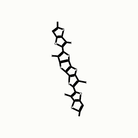 Cc1cc2oc(-c3sc4c(sc5c6sc(-c7oc8cc(C)sc8c7I)c(I)c6sc45)c3I)c(I)c2s1